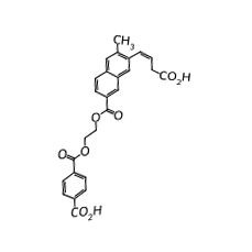 Cc1cc2ccc(C(=O)OCCOC(=O)c3ccc(C(=O)O)cc3)cc2cc1/C=C\CC(=O)O